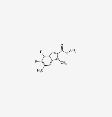 COC(=O)c1cc2c(F)c(F)c(C)cc2n1C